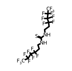 FC(F)(F)C(F)(F)C(F)(F)C(F)(F)CCNC(=S)NCCC(F)(F)C(F)(F)C(F)(F)C(F)(F)F